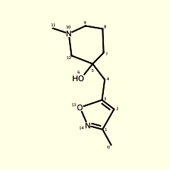 Cc1cc(CC2(O)CCCN(C)C2)on1